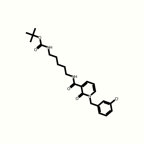 CC(C)(C)OC(=O)NCCCCCNC(=O)c1cccn(Cc2cccc(Cl)c2)c1=O